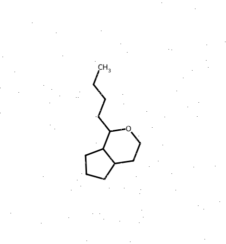 CCC[CH]C1OCCC2CCCC21